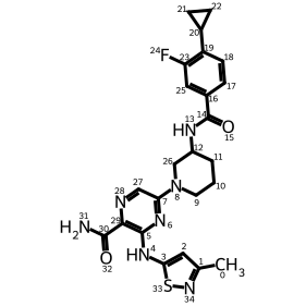 Cc1cc(Nc2nc(N3CCCC(NC(=O)c4ccc(C5CC5)c(F)c4)C3)cnc2C(N)=O)sn1